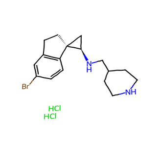 Brc1ccc2c(c1)CC[C@@]21C[C@H]1NCC1CCNCC1.Cl.Cl